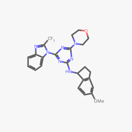 COc1ccc2c(c1)CCC2Nc1nc(N2CCOCC2)nc(-n2c(C(F)(F)F)nc3ccccc32)n1